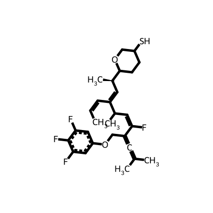 C/C=C\C(=C/[C@@H](C)C1CCC(S)CO1)C(C)/C=C(/F)C(=C=C(C)C)COc1cc(F)c(F)c(F)c1